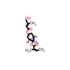 C/C=C(/C)C(=O)O[C@@H]1C[C@@H]2C[C@@H](OC(=O)/C=C(\C)CO)C[C@H]1N2C